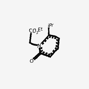 CCOC(=O)Cn1c(C(C)C)cccc1=O